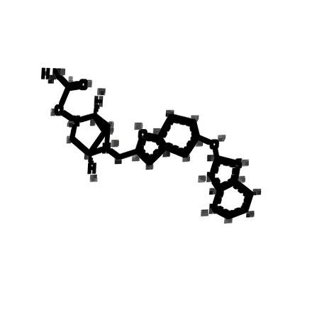 NC(=O)ON1C[C@H]2C[C@@H]1CN2Cc1cc2cc(Oc3nc4ncccc4s3)ccc2o1